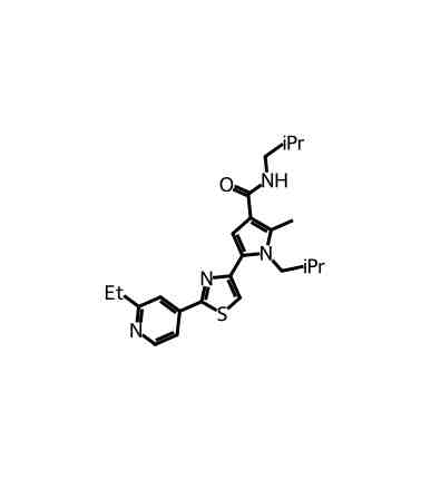 CCc1cc(-c2nc(-c3cc(C(=O)NCC(C)C)c(C)n3CC(C)C)cs2)ccn1